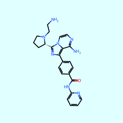 NCCN1CCC[C@H]1c1nc(-c2ccc(C(=O)Nc3ccccn3)cc2)c2c(N)nccn12